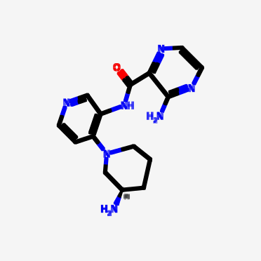 Nc1nccnc1C(=O)Nc1cnccc1N1CCC[C@@H](N)C1